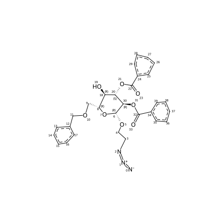 [N-]=[N+]=NCCO[C@@H]1O[C@H](COCc2ccccc2)[C@@H](O)[C@H](OC(=O)c2ccccc2)[C@H]1OC(=O)c1ccccc1